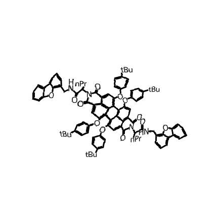 CCCC(C(=O)NCc1cccc2c1oc1ccccc12)N1C(=O)c2cc(Oc3ccc(C(C)(C)C)cc3)c3c4c(Oc5ccc(C(C)(C)C)cc5)cc5c6c(cc(Oc7ccc(C(C)(C)C)cc7)c(c7c(Oc8ccc(C(C)(C)C)cc8)cc(c2c37)C1=O)c64)C(=O)N(C(CCC)C(=O)NCc1cccc2c1oc1ccccc12)C5=O